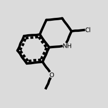 COc1cccc2c1NC(Cl)CC2